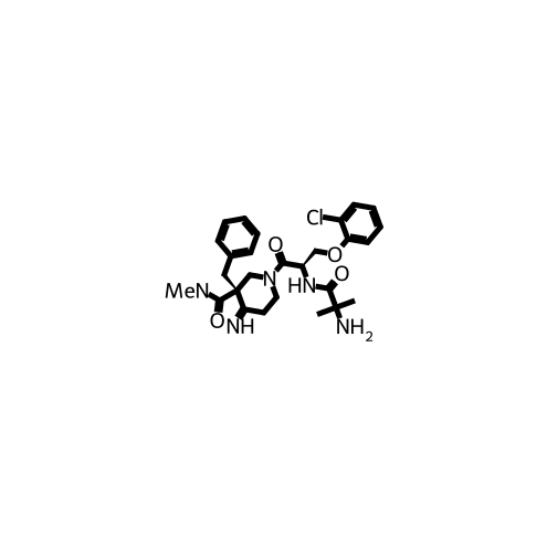 CNC(=O)[C@]1(Cc2ccccc2)CN(C(=O)[C@@H](COc2ccccc2Cl)NC(=O)C(C)(C)N)CCC1=N